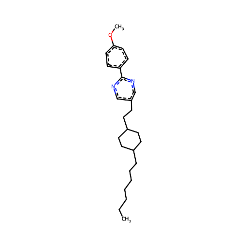 CCCCCCCC1CCC(CCc2cnc(-c3ccc(OC)cc3)nc2)CC1